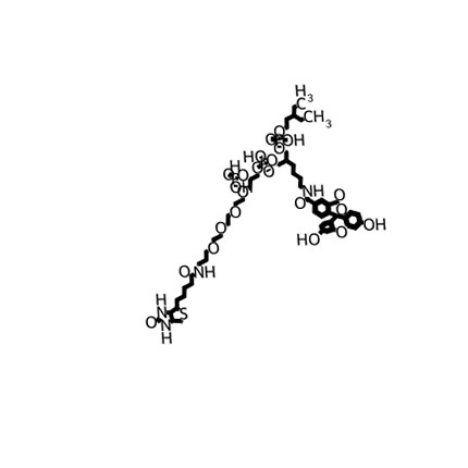 CCC(CC)CCOP(=O)(O)OCC(CCCCNC(=O)c1ccc2c(c1)C(=O)OC21c2ccc(O)cc2Oc2cc(O)ccc21)COP(=O)(O)OCC(COCCOCCOCCOCCCNC(=O)CCCCC1SCC2NC(=O)NC21)O[PH](=O)O